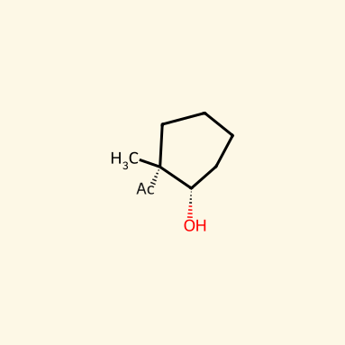 CC(=O)[C@]1(C)CCCC[C@@H]1O